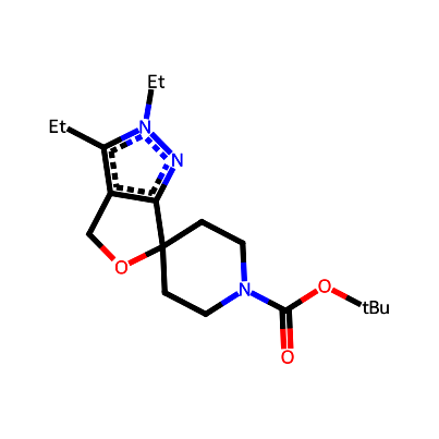 CCc1c2c(nn1CC)C1(CCN(C(=O)OC(C)(C)C)CC1)OC2